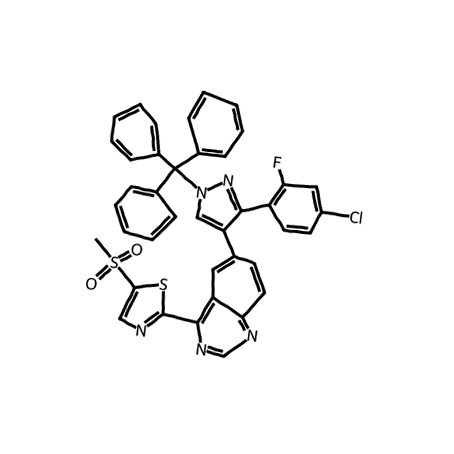 CS(=O)(=O)c1cnc(-c2ncnc3ccc(-c4cn(C(c5ccccc5)(c5ccccc5)c5ccccc5)nc4-c4ccc(Cl)cc4F)cc23)s1